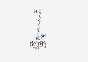 CCCCCCCCCCCC1=NC(C(C)(C)C(C)(C)O)CN1